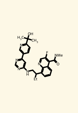 CCC(CNc1cc(-c2ccc(C(C)(C)O)nc2)ncn1)c1cccc2c(C(=O)NC)c(F)cnc12